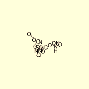 COCCCOc1ccnc(C[S+]([O-])c2nc3ccccc3n2S(=O)(=O)c2ccc(OCC(=O)Nc3ccccn3)cc2)c1C